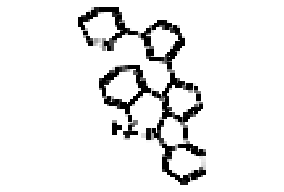 Cc1ccccc1-c1c(-c2cccc(-c3ccccn3)c2)ccc2c1[nH]c1ccccc12